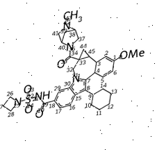 COC1=CC2C(C=C1)c1c(C3CCCCC3)c3ccc(C(=O)NS(=O)(=O)N4CCC4)cc3n1CC1(C(=O)N3CC4CC3CN4C)CC21